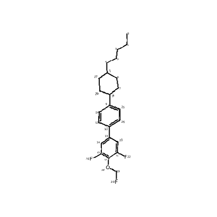 CCCCCC1CCC(c2ccc(-c3cc(F)c(OCF)c(F)c3)cc2)CC1